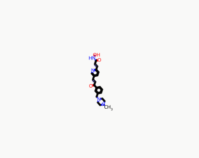 CN1CCN(Cc2cccc(C(=O)/C=C/c3ccc(/C=C/C(=O)NO)nc3)c2)CC1